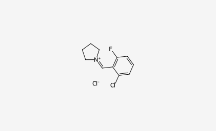 Fc1cccc(Cl)c1C=[N+]1CCCC1.[Cl-]